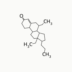 CCCC1CCC2C3C(CC)CC4=CC(=O)CCC4C3CCC12CC